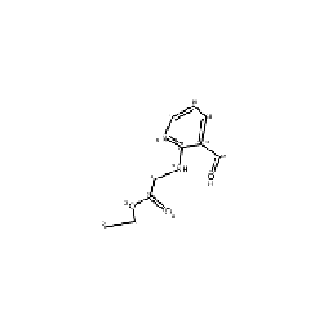 CCOC(=O)CNc1ncccc1C=O